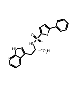 O=C(O)[C@H](Cc1c[nH]c2ncccc12)NS(=O)(=O)c1ccc(-c2ccccc2)s1